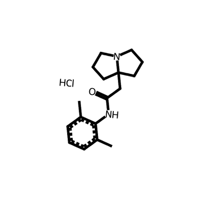 Cc1cccc(C)c1NC(=O)CC12CCCN1CCC2.Cl